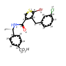 C[C@H](NC(=O)c1csc(Br)c1Cc1cccc(Cl)c1)c1ccc(C(=O)O)cc1